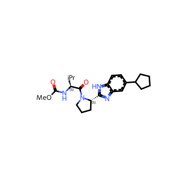 COC(=O)N[C@H](C(=O)N1CCC[C@H]1c1nc2cc(C3CCCC3)ccc2[nH]1)C(C)C